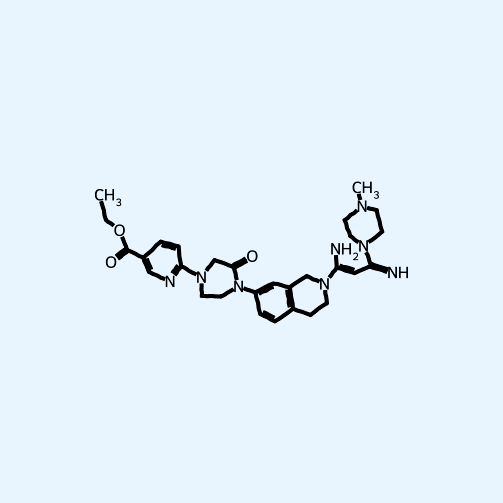 CCOC(=O)c1ccc(N2CCN(c3ccc4c(c3)CN(/C(N)=C/C(=N)N3CCN(C)CC3)CC4)C(=O)C2)nc1